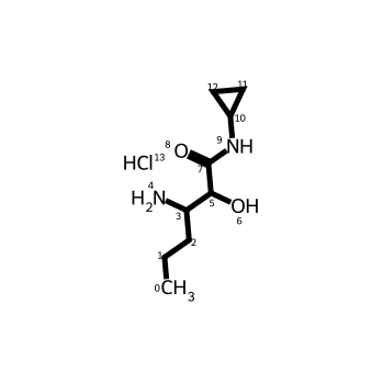 CCCC(N)C(O)C(=O)NC1CC1.Cl